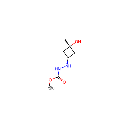 CC(C)(C)OC(=O)NN[C@H]1C[C@](C)(O)C1